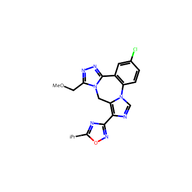 COCc1nnc2n1Cc1c(-c3noc(C(C)C)n3)ncn1-c1ccc(Cl)cc1-2